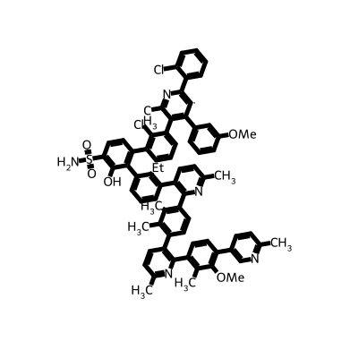 CCc1c(-c2ccc(C)nc2-c2ccc(-c3ccc(C)nc3-c3ccc(-c4ccc(C)nc4)c(OC)c3C)c(C)c2C)cccc1-c1c(-c2cccc(-c3c(-c4cccc(OC)c4)[c]c(-c4ccccc4Cl)nc3C)c2Cl)ccc(S(N)(=O)=O)c1O